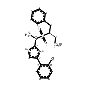 CCOC(=O)C[C@@H](Cc1ccccc1)S(=O)(=O)N(C)c1nc(-c2ccccc2Cl)cs1